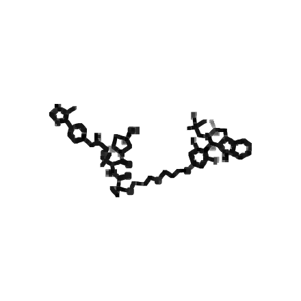 Cc1ncsc1-c1ccc(CNC(=O)[C@@H]2C[C@@H](O)CN2C(=O)C(NC(=O)C2(OCCCOCCCOc3cc(F)c([C@@H]4c5[nH]c6ccccc6c5C[C@@H](C)N4CC(C)(C)F)c(F)c3)CC2)C(C)(C)C)cc1